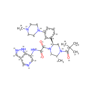 C[C@@H]1CN(C(=O)C(=O)Nc2cncc3cn[nH]c23)[C@@H](c2cccc(N3CCN(C)CC3)c2)CN1C(=O)C(C)(C)C